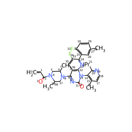 C=CC(=O)N1CC(C)N(c2nc(=O)n(-c3c(C)ccnc3C(C)C)c3nc(-c4cc(C)ccc4F)c(F)cc23)CC1C